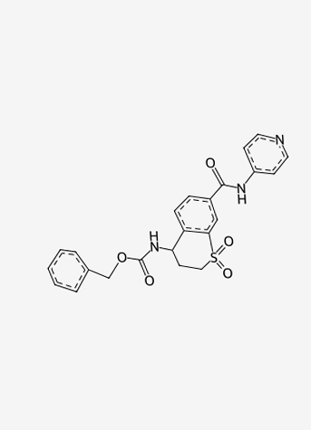 O=C(NC1CCS(=O)(=O)c2cc(C(=O)Nc3ccncc3)ccc21)OCc1ccccc1